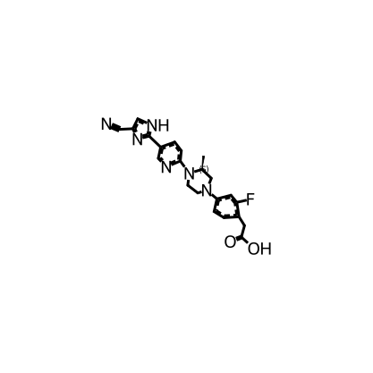 C[C@H]1CN(c2ccc(CC(=O)O)c(F)c2)CCN1c1ccc(-c2nc(C#N)c[nH]2)cn1